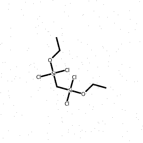 CCO[Si](Cl)(Cl)C[Si](Cl)(Cl)OCC